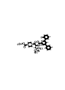 CCCCOC(=O)N1CCN(C(=O)[C@H](CP(=O)(OCC)OCC)NC(=O)c2cc(-c3ccccc3)cc(-c3ccccc3F)n2)CC1